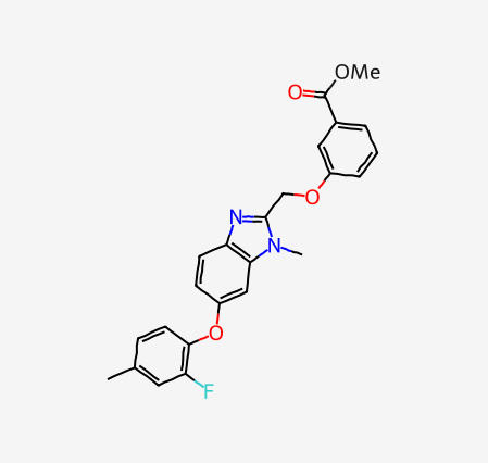 COC(=O)c1cccc(OCc2nc3ccc(Oc4ccc(C)cc4F)cc3n2C)c1